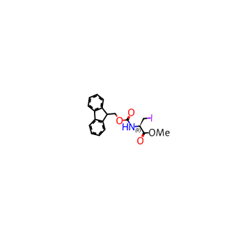 COC(=O)[C@H](CI)NC(=O)OCC1c2ccccc2-c2ccccc21